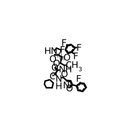 CC(NC(=O)[C@H](CC1CCCCC1)NC(=O)c1cc(-c2ccccc2F)on1)C(=O)[C@@H](Oc1c(F)c(F)cc(F)c1F)[C@@H]1CCNC1=O